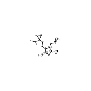 C=CC[C@@H]1C(CCC2(OI)CC2)[C@@H](O)C[C@@H]1O